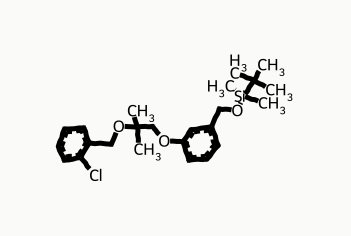 CC(C)(COc1cccc(CO[Si](C)(C)C(C)(C)C)c1)OCc1ccccc1Cl